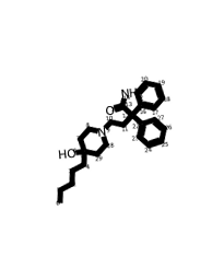 CCCCCC1(O)CCN(CCC(C(N)=O)(c2ccccc2)c2ccccc2)CC1